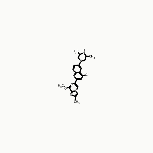 COc1nc(-c2cc(Cl)c3cc(N4CC(C)NC(C)C4)cnc3n2)cn2cc(C)nc12